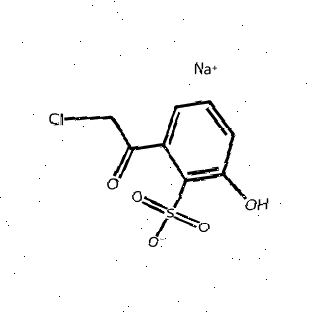 O=C(CCl)c1cccc(O)c1S(=O)(=O)[O-].[Na+]